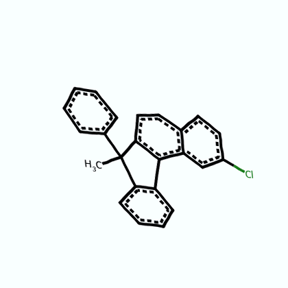 CC1(c2ccccc2)c2ccccc2-c2c1ccc1ccc(Cl)cc21